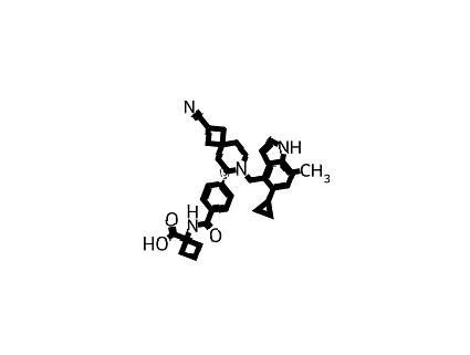 Cc1cc(C2CC2)c(CN2CCC3(CC(C#N)C3)C[C@H]2c2ccc(C(=O)NC3(C(=O)O)CCC3)cc2)c2cc[nH]c12